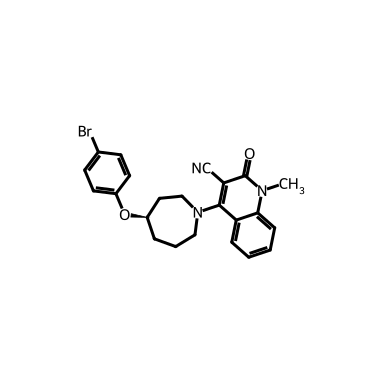 Cn1c(=O)c(C#N)c(N2CCC[C@@H](Oc3ccc(Br)cc3)CC2)c2ccccc21